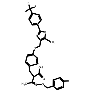 CC(=NOCc1ccc(F)cc1)C(Cc1ccc(OCc2nc(-c3ccc(C(F)(F)F)cc3)sc2C)cc1)C(=O)O